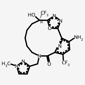 Cn1ccc(CN2CCCCC[C@](O)(C(F)(F)F)c3nnc(o3)-c3nc(c(C(F)(F)F)cc3N)C2=O)n1